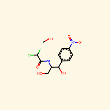 CO.O=C(NC(CO)C(O)c1ccc([N+](=O)[O-])cc1)C(Cl)Cl